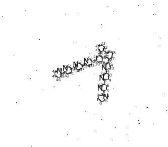 c1ccc(-c2ccc(-c3ccc(-c4ccc(-c5cccc(-c6ccccc6-c6cccc(-c7ccc(-c8ccc(-c9ccc(-c%10ccccn%10)nc9)nc8)nc7)c6)c5)cn4)cn3)cn2)nc1